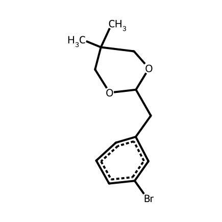 CC1(C)COC(Cc2cccc(Br)c2)OC1